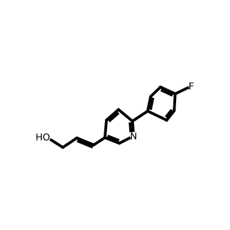 OC/C=C/c1ccc(-c2ccc(F)cc2)nc1